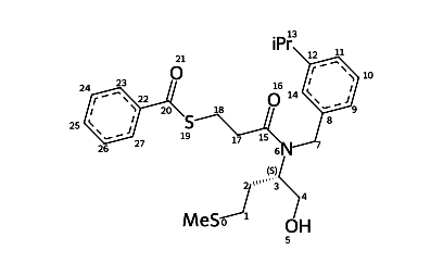 CSCC[C@@H](CO)N(Cc1cccc(C(C)C)c1)C(=O)CCSC(=O)c1ccccc1